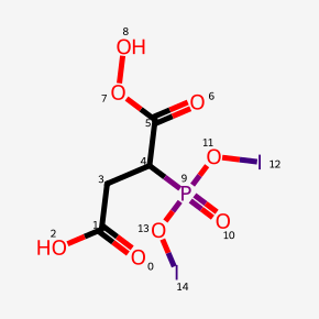 O=C(O)CC(C(=O)OO)P(=O)(OI)OI